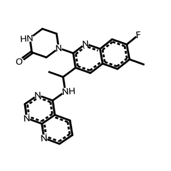 Cc1cc2cc(C(C)Nc3ncnc4ncccc34)c(N3CCNC(=O)C3)nc2cc1F